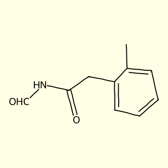 Cc1ccccc1CC(=O)NC=O